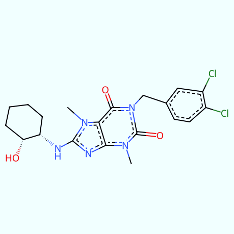 Cn1c(N[C@H]2CCCC[C@H]2O)nc2c1c(=O)n(Cc1ccc(Cl)c(Cl)c1)c(=O)n2C